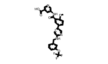 COc1ccc(-c2ccc(NCc3cccc(OC(F)(F)F)c3)nc2)cc1C(=O)Nc1cncc(C(=O)O)c1